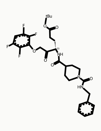 CC(C)(C)OC(=O)CC[C@H](NC(=O)C1CCN(C(=O)NCc2ccccc2)CC1)C(=O)COc1c(F)c(F)cc(F)c1F